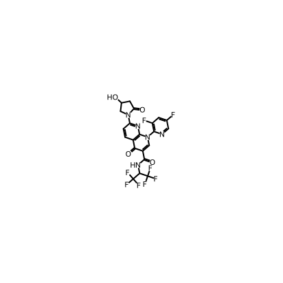 O=C(NC(C(F)(F)F)C(F)(F)F)c1cn(-c2ncc(F)cc2F)c2nc(N3CC(O)CC3=O)ccc2c1=O